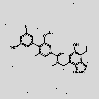 CCOc1cc(C(=O)N(C)Cc2c[n+](O)c(CF)c3cn[nH]c23)cc(F)c1-c1cc(F)cc(C#N)c1